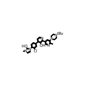 Cc1ncc(-c2nccc(-c3ccc(N4C=CN(C)C4O)c(Cl)c3)c2O)cc1N1CCN(C(C)(C)C)CC1